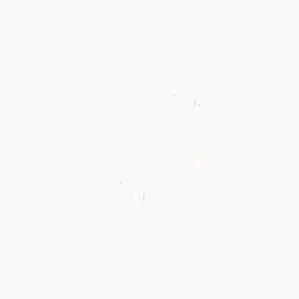 C[Si](C)(C)C#Cc1c[c]ncc1O